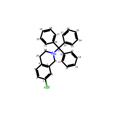 Brc1ccc2c(c1)CN(C(c1ccccc1)(c1ccccc1)c1ccccc1)CC2